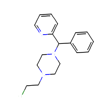 ClCCN1CCN(C(c2ccccc2)c2ccccn2)CC1